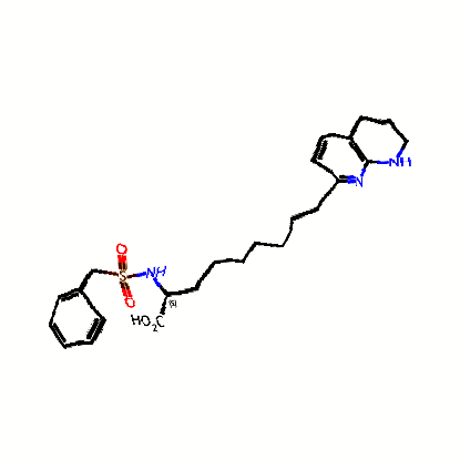 O=C(O)[C@H](CCCCCCCc1ccc2c(n1)NCCC2)NS(=O)(=O)Cc1ccccc1